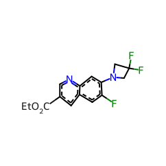 CCOC(=O)c1cnc2cc(N3CC(F)(F)C3)c(F)cc2c1